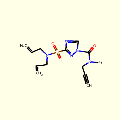 C#CCN(CC)C(=O)n1cnc(S(=O)(=O)N(CC=C)CC=C)n1